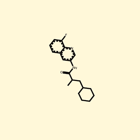 CC(CC1CCCCC1)C(=O)Nc1cnc2c(F)cccc2c1